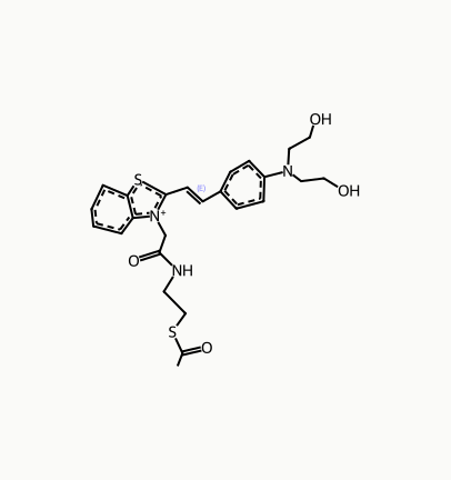 CC(=O)SCCNC(=O)C[n+]1c(/C=C/c2ccc(N(CCO)CCO)cc2)sc2ccccc21